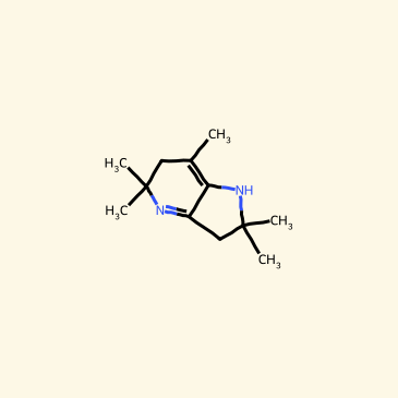 CC1=C2NC(C)(C)CC2=NC(C)(C)C1